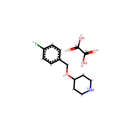 Fc1ccc(COC2CCNCC2)cc1.O=C(O)C(=O)O